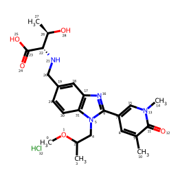 COC(C)Cn1c(-c2cc(C)c(=O)n(C)c2)nc2cc(CN[C@H](C(=O)O)[C@@H](C)O)ccc21.Cl